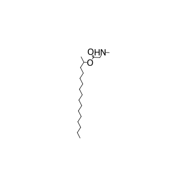 CCCCCCCCCCCCCCC(C)OC(=O)CNC